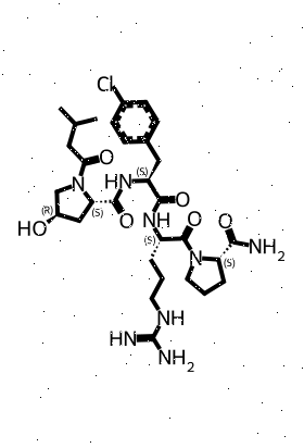 CC(C)CC(=O)N1C[C@H](O)C[C@H]1C(=O)N[C@@H](Cc1ccc(Cl)cc1)C(=O)N[C@@H](CCCNC(=N)N)C(=O)N1CCC[C@H]1C(N)=O